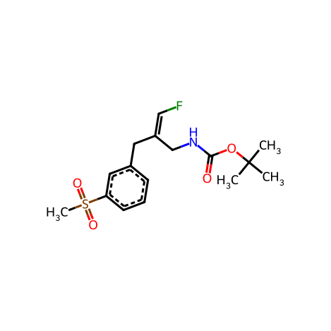 CC(C)(C)OC(=O)NC/C(=C\F)Cc1cccc(S(C)(=O)=O)c1